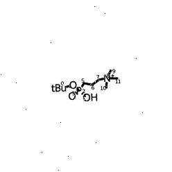 CC(C)(C)OP(=O)(O)CCC[N+](C)(C)C